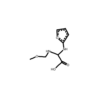 COCNC(Nc1ccco1)C(=O)O